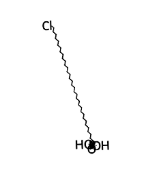 O=P(O)(O)CCCCCCCCCCCCCCCCCCCCCCCCCCCCCCCCCCCCl